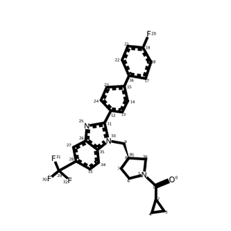 O=C(C1CC1)N1CC[C@@H](Cn2c(-c3ccc(-c4ccc(F)cc4)cc3)nc3cc(C(F)(F)F)ccc32)C1